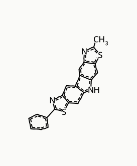 Cc1nc2cc3c(cc2s1)[nH]c1cc2sc(-c4ccccc4)nc2cc13